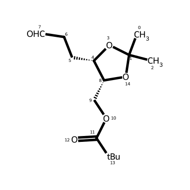 CC1(C)O[C@@H](CCC=O)[C@@H](COC(=O)C(C)(C)C)O1